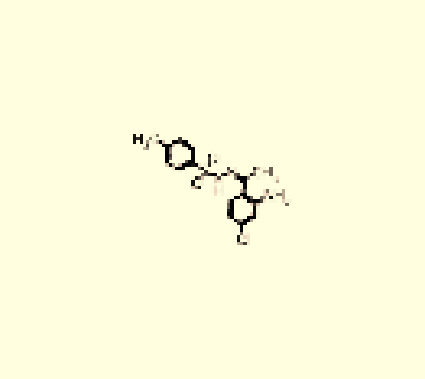 CC(=NNS(=O)(=O)c1ccc(C)cc1)c1ccc(Cl)cc1N